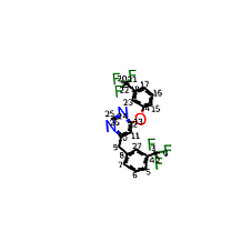 FC(F)(F)c1cccc(Cc2cc(Oc3cccc(C(F)(F)F)c3)ncn2)c1